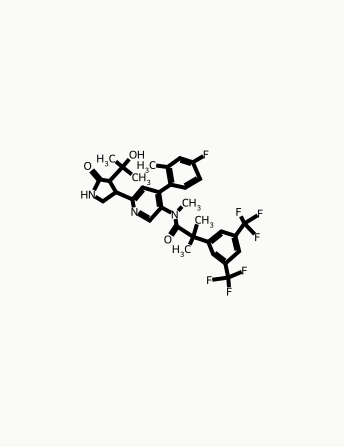 Cc1cc(F)ccc1-c1cc(C2CNC(=O)C2C(C)(C)O)ncc1N(C)C(=O)C(C)(C)c1cc(C(F)(F)F)cc(C(F)(F)F)c1